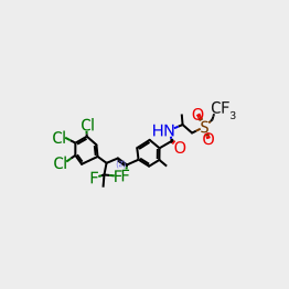 Cc1cc(/C(F)=C/C(c2cc(Cl)c(Cl)c(Cl)c2)C(C)(F)F)ccc1C(=O)NC(C)CS(=O)(=O)CC(F)(F)F